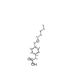 CCCCCOCc1ccc(CC(=O)O)cc1